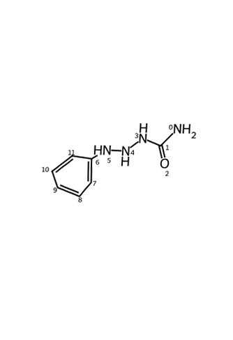 NC(=O)NNNc1ccccc1